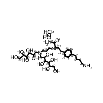 Cl.Cl.Cl.NCCCCc1ccc(CCC(NCCCN(CC(O)C(O)C(O)C(O)CO)CC(O)C(O)C(O)C(O)CO)C(N)=O)cc1